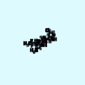 CC(F)(F)CNC(=O)[C@H](CCN)Nc1ccnc(C2=CNC3=NC=C(Cl)CC23)n1